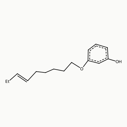 CCC=CCCCCCOc1cccc(O)c1